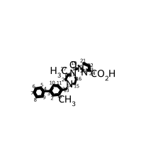 Cc1cc(-c2ccccc2)ccc1CN1CCN(C(=O)n2ccc(C(=O)O)n2)[C@H](C)C1